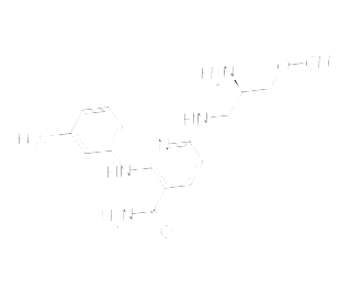 COC[C@H](N)CNc1ccc(C(N)=O)c(Nc2cccc(C)c2)n1